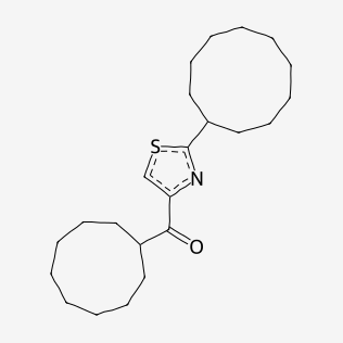 O=C(c1csc(C2CCCCCCCCC2)n1)C1CCCCCCCC1